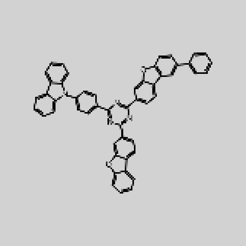 c1ccc(-c2ccc3oc4cc(-c5nc(-c6ccc(-n7c8ccccc8c8ccccc87)cc6)nc(-c6ccc7c(c6)oc6ccccc67)n5)ccc4c3c2)cc1